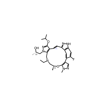 CCN1Cc2c(c(OC(C)C)nn2C[C@H](C)O)/C=C/c2n[nH]c3cc(F)c(cc23)-c2cnn(C)c2O[C@@H](C)C1